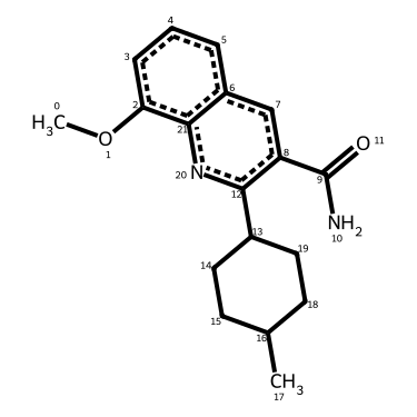 COc1cccc2cc(C(N)=O)c(C3CCC(C)CC3)nc12